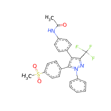 CC(=O)Nc1ccc(-c2c(C(F)(F)F)nn(-c3ccccc3)c2-c2ccc(S(C)(=O)=O)cc2)cc1